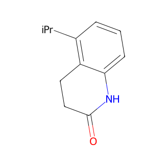 CC(C)c1cccc2c1CCC(=O)N2